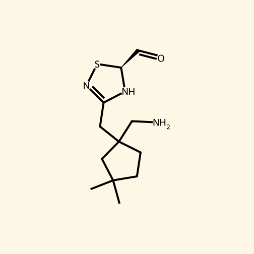 CC1(C)CCC(CN)(CC2=NS[C@@H](C=O)N2)C1